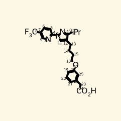 CC(C)c1nn(-c2ccc(C(F)(F)F)cn2)cc1CCCCOc1cccc(CC(=O)O)c1